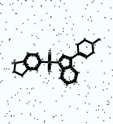 CN1CC=C(c2cn(S(=O)(=O)c3ccc4c(c3)CCN4)c3ccccc23)CC1